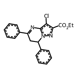 CCOC(=O)c1nn2c(c1Cl)N=C(c1ccccc1)CC2c1ccccc1